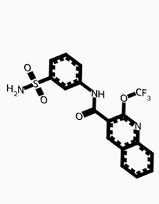 NS(=O)(=O)c1cccc(NC(=O)c2cc3ccccc3nc2OC(F)(F)F)c1